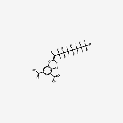 O=C(O)c1cc(OC(F)=C(F)C(F)(F)C(F)(F)C(F)(F)C(F)(F)C(F)(F)C(F)(F)C(F)(F)F)c(Cl)c(C(=O)O)c1